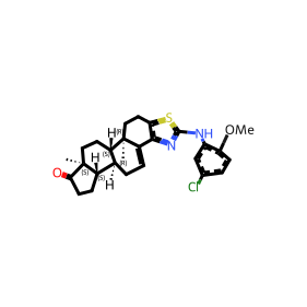 COc1ccc(Cl)cc1Nc1nc2c(s1)CC[C@@]1(C)C2=CC[C@@H]2[C@@H]1CC[C@]1(C)C(=O)CC[C@@H]21